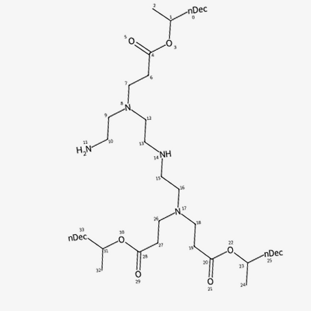 CCCCCCCCCCC(C)OC(=O)CCN(CCN)CCNCCN(CCC(=O)OC(C)CCCCCCCCCC)CCC(=O)OC(C)CCCCCCCCCC